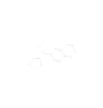 CN(c1ccc2ncccc2c1)C1CCNC1.Cl